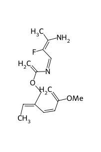 C=C(/C=C\C(=C/C)COC(=C)/N=C\C(F)=C(\C)N)OC